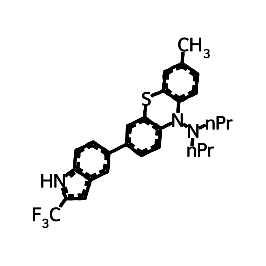 CCCN(CCC)N1c2ccc(C)cc2Sc2cc(-c3ccc4[nH]c(C(F)(F)F)cc4c3)ccc21